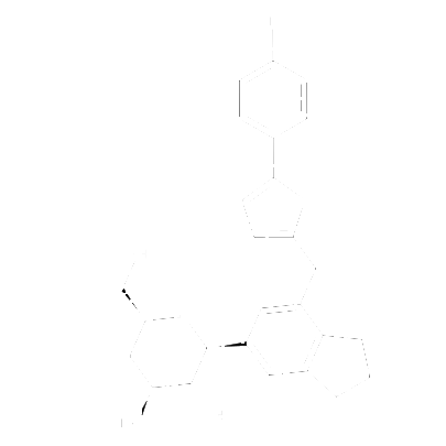 OC[C@H]1O[C@@H](c2cc3c(c(Cc4ccc(-c5ccc(F)cc5)s4)c2)CCC3)[C@H](O)[C@@H](O)[C@@H]1O